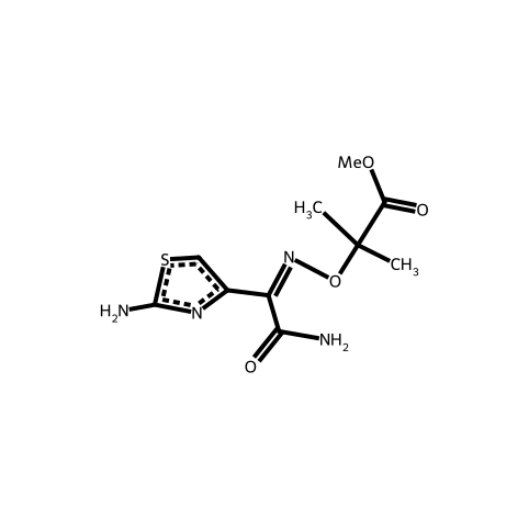 COC(=O)C(C)(C)ON=C(C(N)=O)c1csc(N)n1